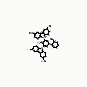 N#Cc1ccc2c(c1)c1cc(C#N)ccc1n2-c1cc(-c2ccccc2C#N)cc(-n2c3ccc(C#N)cc3c3cc(C#N)ccc32)c1C#N